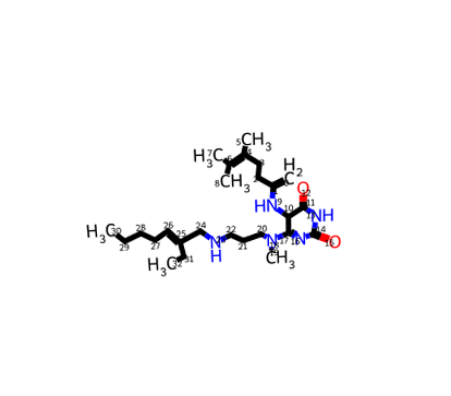 C=C(CCC(C)=C(C)C)NC1C(=O)NC(=O)N=C1N(C)CCCNC/C(=C/CCCC)CC